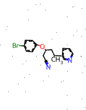 CC(CC(CC#N)Oc1ccc(Br)cc1)c1cccnc1